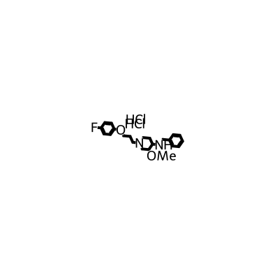 COC1CN(CCCOc2ccc(F)cc2)CCC1NCc1ccccc1.Cl.Cl